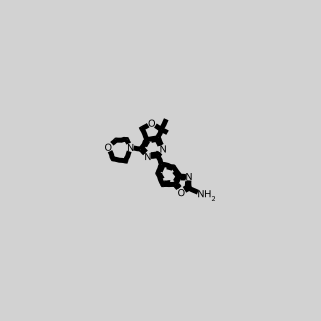 CC1(C)OCc2c(N3CCOCC3)nc(-c3ccc4oc(N)nc4c3)nc21